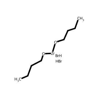 Br.Br.CCCC[O][Zr][O]CCCC